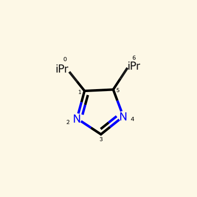 CC(C)C1=NC=NC1C(C)C